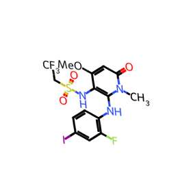 COc1cc(=O)n(C)c(Nc2ccc(I)cc2F)c1NS(=O)(=O)CC(F)(F)F